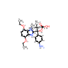 CCOc1ccc(OCC)c2c1nc(C(OC(=O)O)(c1ccc(N)cc1)C(C)(C)C)n2C